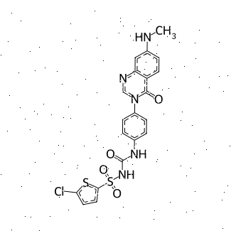 CNc1ccc2c(=O)n(-c3ccc(NC(=O)NS(=O)(=O)c4ccc(Cl)s4)cc3)cnc2c1